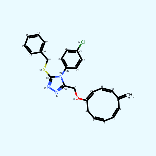 C=C1/C=C\C=C/C/C(OCc2nnc(SCc3ccccc3)n2-c2ccc(Cl)cc2)=C\C=C/1